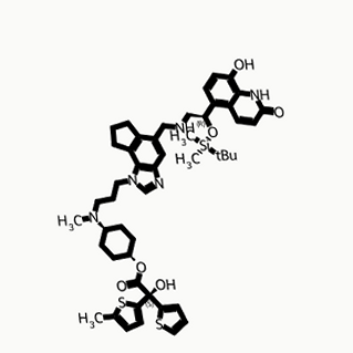 Cc1ccc([C@](O)(C(=O)O[C@H]2CC[C@H](N(C)CCCn3cnc4cc(CNC[C@H](O[Si](C)(C)C(C)(C)C)c5ccc(O)c6[nH]c(=O)ccc56)c5c(c43)CCC5)CC2)c2cccs2)s1